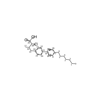 CCCCCCCc1cnc(-c2ccc(CC(C)C(Cl)C(=O)O)cc2)nc1